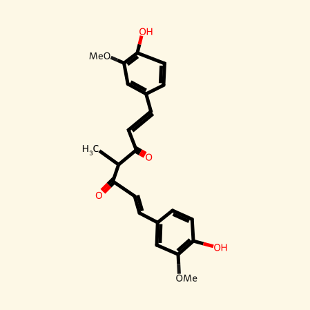 COc1cc(C=CC(=O)C(C)C(=O)C=Cc2ccc(O)c(OC)c2)ccc1O